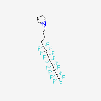 FC(F)(F)C(F)(F)C(F)(F)C(F)(F)C(F)(F)C(F)(F)C(F)(F)C(F)(F)CCCCn1cccc1